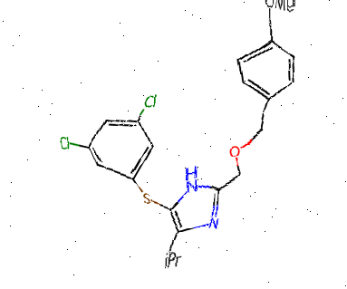 COc1ccc(COCc2nc(C(C)C)c(Sc3cc(Cl)cc(Cl)c3)[nH]2)cc1